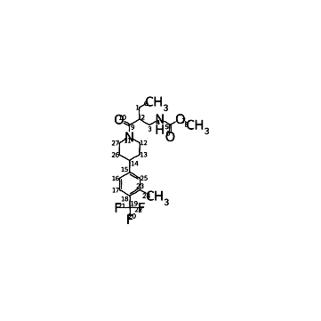 CCC(CNC(=O)OC)C(=O)N1CCC(c2ccc(C(F)(F)F)c(C)c2)CC1